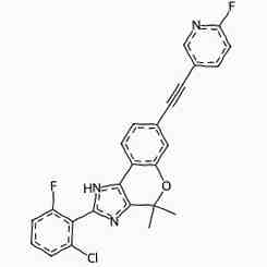 CC1(C)Oc2cc(C#Cc3ccc(F)nc3)ccc2-c2[nH]c(-c3c(F)cccc3Cl)nc21